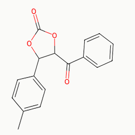 Cc1ccc(C2OC(=O)OC2C(=O)c2ccccc2)cc1